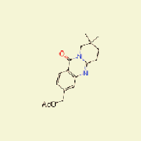 CC(=O)OCc1ccc2c(=O)n3c(nc2c1)CCC(C)(C)C3